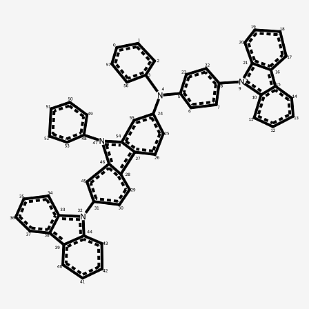 c1ccc(N(c2ccc(-n3c4ccccc4c4ccccc43)cc2)c2ccc3c4ccc(-n5c6ccccc6c6ccccc65)cc4n(-c4ccccc4)c3c2)cc1